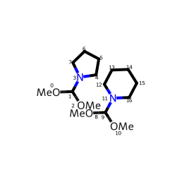 COC(OC)N1CCCC1.COC(OC)N1CCCCC1